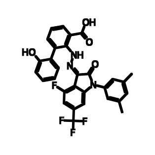 Cc1cc(C)cc(N2C(=O)C(=NNc3c(C(=O)O)cccc3-c3ccccc3O)c3c(F)cc(C(F)(F)F)cc32)c1